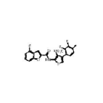 Cc1ccc(-c2csc(NC(=O)c3cc4c(F)cccc4o3)c2C(=O)O)c(F)c1F